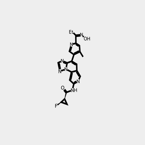 CC/C(=N/O)c1cc(C)c(-c2cc3cnc(NC(=O)[C@H]4C[C@H]4F)cc3n3ncnc23)cn1